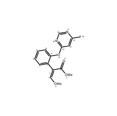 CO/C=C(\C(=O)OC)c1ccccc1Oc1cc(F)ncn1